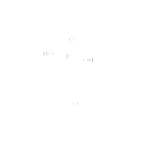 O=C(c1ccccc1)C(c1ccccc1)P(=O)(O)O